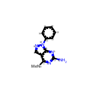 CNc1nc(N)nc2c1cnn2-c1ccccc1